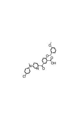 COc1cccc(COc2ccc(C(=O)c3ccc(N(C)c4ccc(Cl)cc4)cn3)cc2C(=O)O)c1